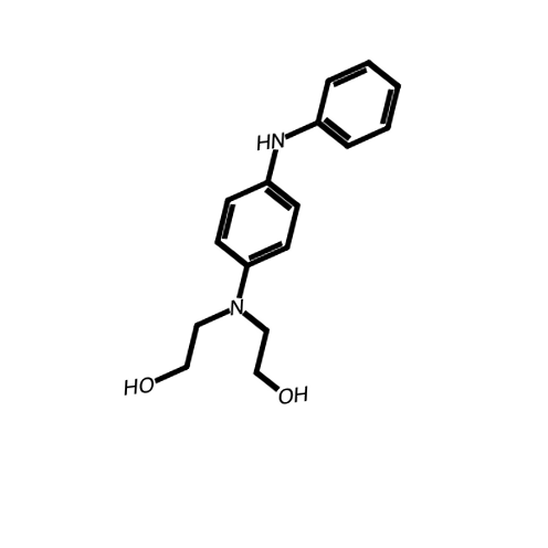 OCCN(CCO)c1ccc(Nc2ccccc2)cc1